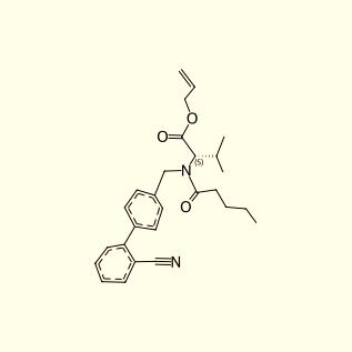 C=CCOC(=O)[C@H](C(C)C)N(Cc1ccc(-c2ccccc2C#N)cc1)C(=O)CCCC